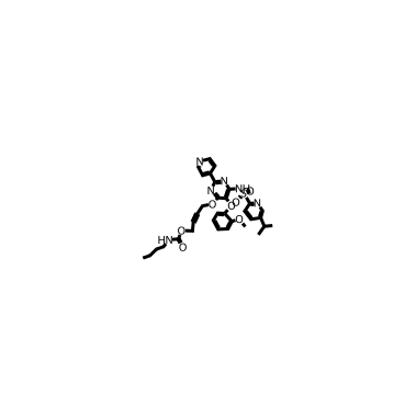 CCCCNC(=O)OCC#CCOc1nc(-c2ccncc2)nc(NS(=O)(=O)c2ccc(C(C)C)cn2)c1Oc1ccccc1OC